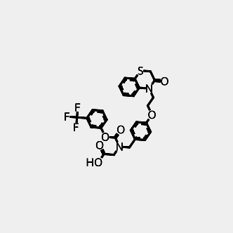 O=C(O)CN(Cc1ccc(OCCN2C(=O)CSc3ccccc32)cc1)C(=O)Oc1cccc(C(F)(F)F)c1